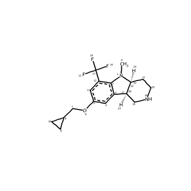 CN1c2c(cc(OCC3CC3)cc2C(F)(F)F)[C@@H]2CNCC[C@@H]21